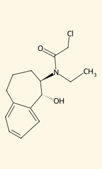 CCN(C(=O)CCl)[C@@H]1CCCc2ccccc2[C@H]1O